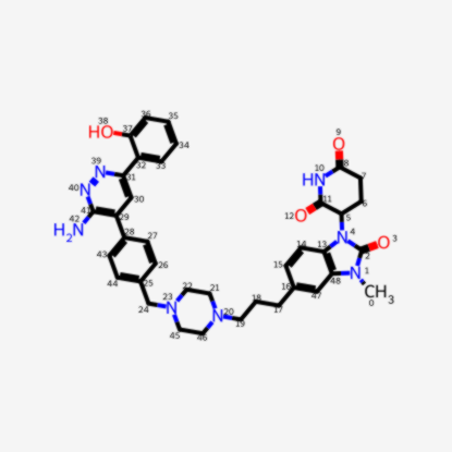 Cn1c(=O)n(C2CCC(=O)NC2=O)c2ccc(CCCN3CCN(Cc4ccc(-c5cc(-c6ccccc6O)nnc5N)cc4)CC3)cc21